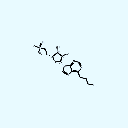 C=P(C)(C)CC[C@H]1O[C@@H](n2cnc3c(CCCC)ncnc32)[C@H](O)[C@@H]1O